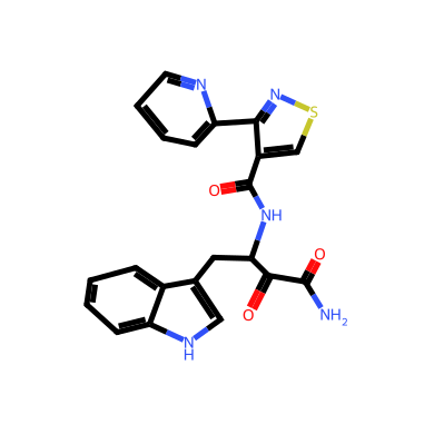 NC(=O)C(=O)C(Cc1c[nH]c2ccccc12)NC(=O)c1csnc1-c1ccccn1